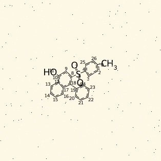 Cc1ccc(S(=O)(=O)c2cc(O)c3ccccc3c2-c2ccccc2)cc1